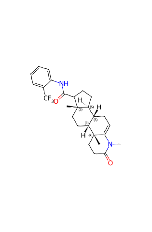 CN1C(=O)CC[C@@]2(C)C1=CC[C@@H]1[C@H]2CC[C@]2(C)C(C(=O)Nc3ccccc3C(F)(F)F)CC[C@@H]12